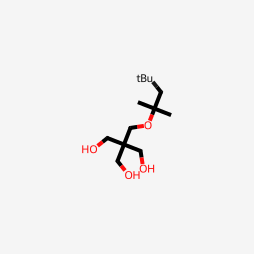 CC(C)(C)CC(C)(C)OCC(CO)(CO)CO